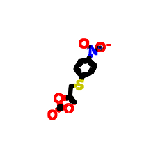 O=c1occ(CSc2ccc([N+](=O)[O-])cc2)o1